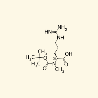 CN(C(=O)OC(C)(C)C)[C@@H](CCCNC(=N)N)C(=O)O